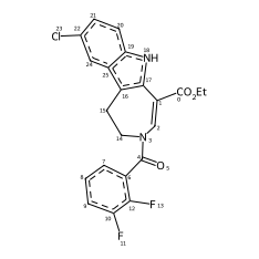 CCOC(=O)C1=CN(C(=O)c2cccc(F)c2F)CCc2c1[nH]c1ccc(Cl)cc21